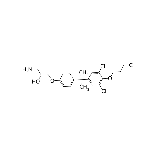 CC(C)(c1ccc(OCC(O)CN)cc1)c1cc(Cl)c(OCCCCl)c(Cl)c1